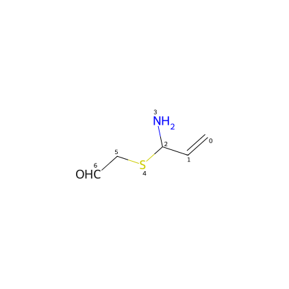 C=CC(N)SCC=O